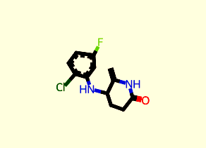 C=C1NC(=O)CCC1Nc1cc(F)ccc1Cl